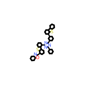 c1ccc(-c2nc(-c3cccc(-c4cccc5c4sc4ccccc45)c3)nc(-c3cccc4sc5c(-c6nc7ccccc7o6)cccc5c34)n2)cc1